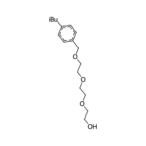 CCC(C)c1ccc(COCCOCCOCCO)cc1